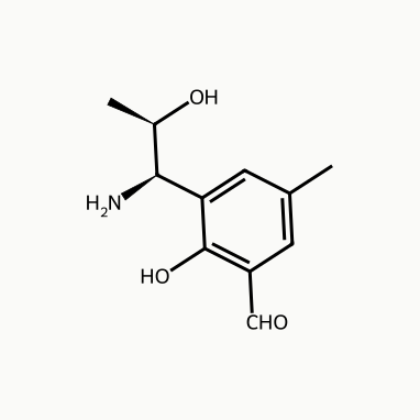 Cc1cc(C=O)c(O)c([C@@H](N)[C@@H](C)O)c1